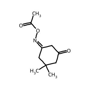 CC(=O)ON=C1CC(=O)CC(C)(C)C1